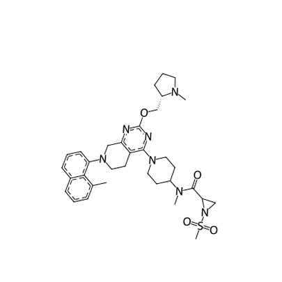 Cc1cccc2cccc(N3CCc4c(nc(OC[C@@H]5CCCN5C)nc4N4CCC(N(C)C(=O)C5CN5S(C)(=O)=O)CC4)C3)c12